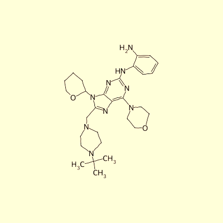 CC(C)(C)N1CCN(Cc2nc3c(N4CCOCC4)nc(Nc4ccccc4N)nc3n2C2CCCCO2)CC1